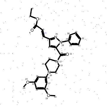 CCOC(=O)/C=C/c1cc(C(=O)N2CCN(c3cc(OC)cc(OC)c3)CC2)n(-c2ccccc2)n1